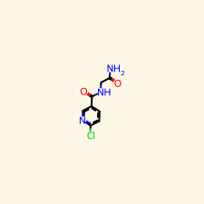 NC(=O)CNC(=O)c1ccc(Cl)nc1